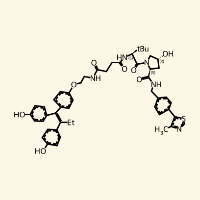 CCC(=C(c1ccc(O)cc1)c1ccc(OCCNC(=O)CCC(=O)N[C@H](C(=O)N2C[C@H](O)C[C@H]2C(=O)NCc2ccc(-c3scnc3C)cc2)C(C)(C)C)cc1)c1ccc(O)cc1